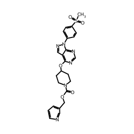 CS(=O)(=O)c1ccc(-n2ncc3c(OC4CCN(C(=O)OCc5cccnc5)CC4)ncnc32)cc1